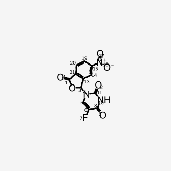 O=C1OC(n2cc(F)c(=O)[nH]c2=O)c2cc([N+](=O)[O-])ccc21